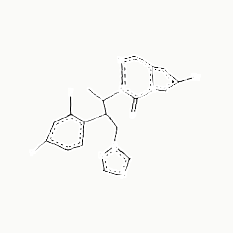 CC(C(Cn1cncn1)c1ccc(F)cc1F)n1ncc2cc(Br)cn2c1=O